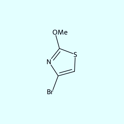 COc1nc(Br)cs1